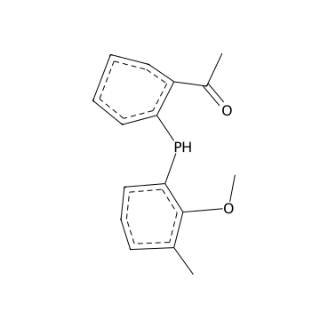 COc1c(C)cccc1Pc1ccccc1C(C)=O